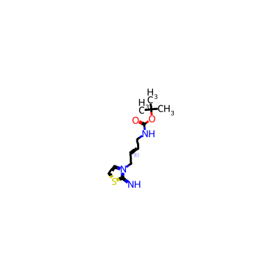 CC(C)(C)OC(=O)NC/C=C/Cn1ccsc1=N